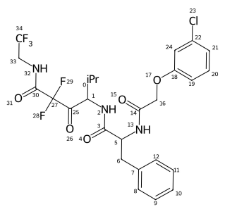 CC(C)C(NC(=O)C(Cc1ccccc1)NC(=O)COc1cccc(Cl)c1)C(=O)C(F)(F)C(=O)NCC(F)(F)F